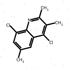 Cc1cc(Cl)c2nc(C)c(C)c(Cl)c2c1